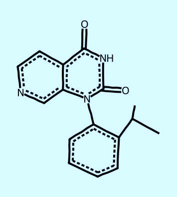 CC(C)c1ccccc1-n1c(=O)[nH]c(=O)c2ccncc21